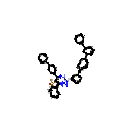 c1ccc(-c2ccc(-c3nc(-c4cccc(-c5ccc(-c6cccc(-c7ccccc7)c6)cc5)c4)nc4c3sc3ccccc34)cc2)cc1